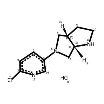 Cl.Clc1ccc(N2C[C@@H]3CCN[C@@H]3C2)cn1